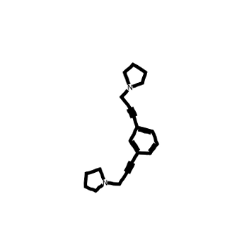 C(#Cc1cccc(C#CCN2CCCC2)c1)CN1CCCC1